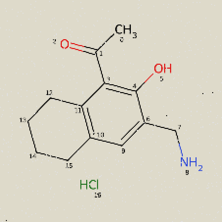 CC(=O)c1c(O)c(CN)cc2c1CCCC2.Cl